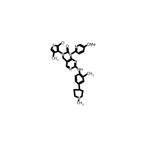 COc1ccc(N2C(=O)N(c3c(C)csc3Cl)Cc3cnc(Nc4ccc(C5CCN(C)CC5)cc4C)nc32)nc1